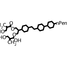 C=C(CO)C(=O)OCC(COC(O)C(=C)CO)C1CCC(CCC2CCC(C3CCC(CCCCC)CC3)CC2)CC1